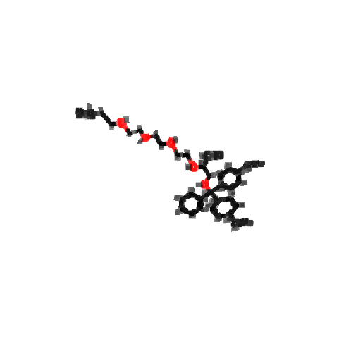 COCCOCCOCCOCCO[C@@H](C=O)COC(c1ccccc1)(c1ccc(OC)cc1)c1ccc(OC)cc1